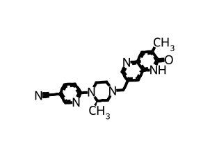 Cc1cc2ncc(CN3CCN(c4ccc(C#N)cn4)[C@H](C)C3)cc2[nH]c1=O